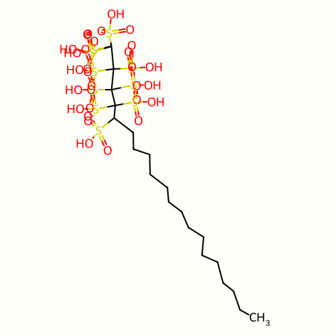 CCCCCCCCCCCCCCCC(C(C(C(C(S(=O)(=O)O)(S(=O)(=O)O)S(=O)(=O)O)(S(=O)(=O)O)S(=O)(=O)O)(S(=O)(=O)O)S(=O)(=O)O)(S(=O)(=O)O)S(=O)(=O)O)S(=O)(=O)O